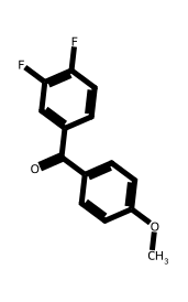 COc1ccc(C(=O)c2ccc(F)c(F)c2)cc1